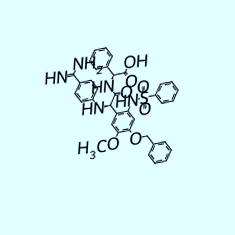 COc1cc([C@@H](Nc2ccc(C(=N)N)cc2)C(=O)N[C@H](C(=O)O)c2ccccc2)c(NS(=O)(=O)c2ccccc2)cc1OCc1ccccc1